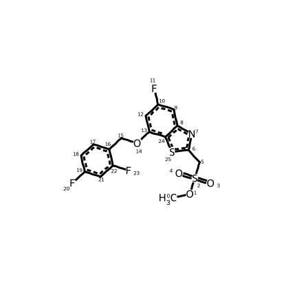 COS(=O)(=O)Cc1nc2cc(F)cc(OCc3ccc(F)cc3F)c2s1